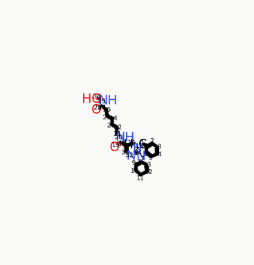 Cc1ccccc1N(C1=CCCC=C1)c1ncc(C(=O)NCCCCCCC(=O)NO)cn1